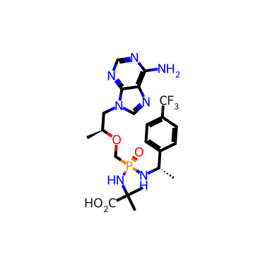 C[C@H](NP(=O)(CO[C@@H](C)Cn1cnc2c(N)ncnc21)NC(C)(C)C(=O)O)c1ccc(C(F)(F)F)cc1